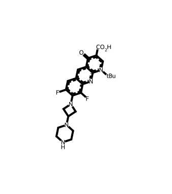 CC(C)(C)n1cc(C(=O)O)c(=O)c2cc3cc(F)c(N4CC(N5CCNCC5)C4)c(F)c3nc21